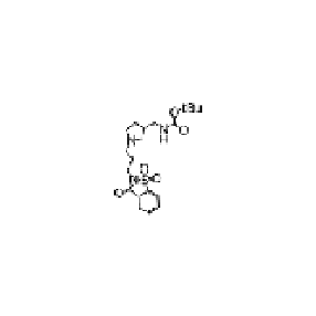 CC(C)(C)OC(=O)NCC1CCN(CCCN2C(=O)c3ccccc3S2(=O)=O)C1